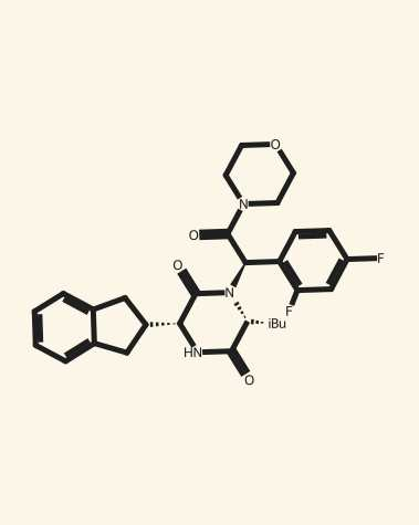 CC[C@@H](C)[C@@H]1C(=O)N[C@H](C2Cc3ccccc3C2)C(=O)N1[C@@H](C(=O)N1CCOCC1)c1ccc(F)cc1F